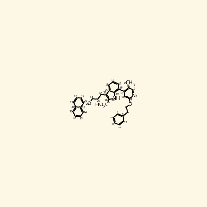 Cc1cnc(OCCc2ccccc2)cc1-c1cccc2c(CCCOc3cccc4ccccc34)c(C(=O)O)[nH]c12